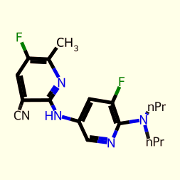 CCCN(CCC)c1ncc(Nc2nc(C)c(F)cc2C#N)cc1F